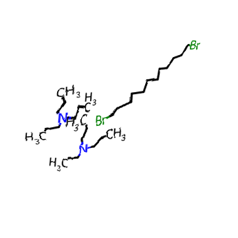 BrCCCCCCCCCCCCBr.CCCN(CCC)CCC.CCCN(CCC)CCC